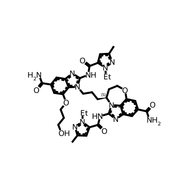 CCn1nc(C)cc1C(=O)Nc1nc2cc(C(N)=O)cc(OCCCO)c2n1CCC[C@H]1CCOc2cc(C(N)=O)cc3nc(NC(=O)c4cc(C)nn4CC)n1c23